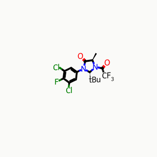 C[C@@H]1C(=O)N(c2cc(Cl)c(F)c(Cl)c2)[C@@H](C(C)(C)C)N1C(=O)C(F)(F)F